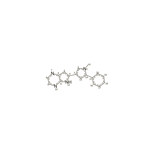 Cn1cc(-c2cc3nccnc3[nH]2)cc1-c1ccccc1